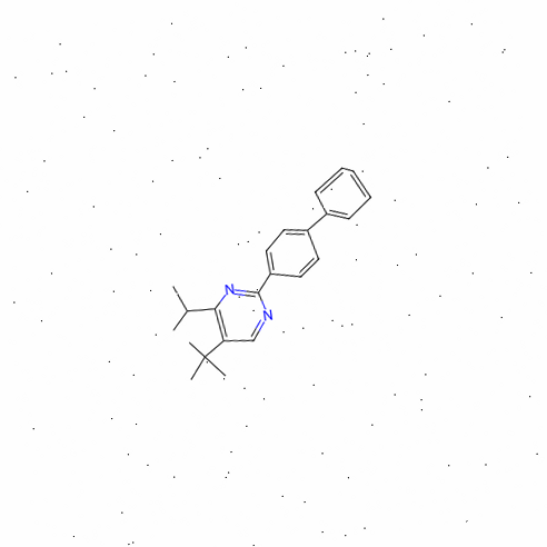 CC(C)c1nc(-c2ccc(-c3ccccc3)cc2)ncc1C(C)(C)C